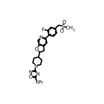 CCCc1nc(N2CCC(C3Cc4cc(-c5ccc(CS(C)(=O)=O)cc5F)ncc4O3)CC2)no1